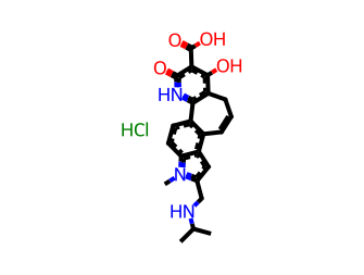 CC(C)NCc1cc2c3c(ccc2n1C)-c1[nH]c(=O)c(C(=O)O)c(O)c1CC=C3.Cl